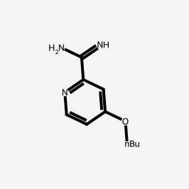 CCCCOc1ccnc(C(=N)N)c1